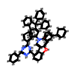 C=C/C=c1/oc2cccc(-c3nc(-c4ccccc4)nc(-c4ccccc4)n3)c2/c1=C/N(c1ccc(-c2ccccc2)cc1)c1ccc2c(c1)C(c1ccccc1)(c1ccccc1)c1ccccc1-2